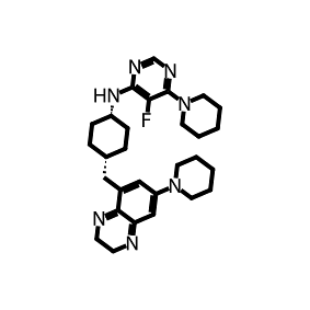 Fc1c(N[C@H]2CC[C@@H](Cc3cc(N4CCCCC4)cc4c3=NCCN=4)CC2)ncnc1N1CCCCC1